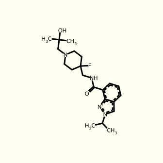 CC(C)n1cc2cccc(C(=O)NCC3(F)CCN(CC(C)(C)O)CC3)c2n1